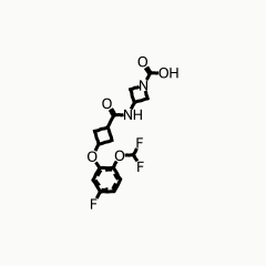 O=C(NC1CN(C(=O)O)C1)C1CC(Oc2cc(F)ccc2OC(F)F)C1